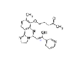 CC(=O)CCCOc1c(C)ccc2c1N=C(/C=C(\O)c1cccnc1)N1CCN=C21